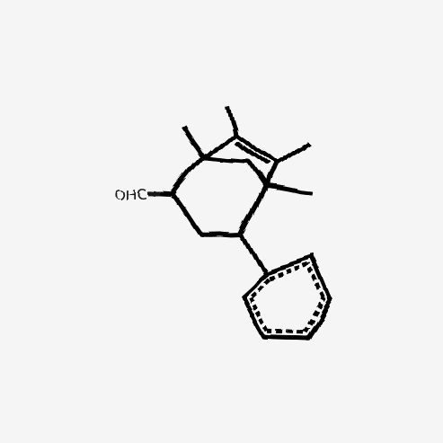 CC1=C(C)C2(C)CC1(C)C(C=O)CC2c1ccccc1